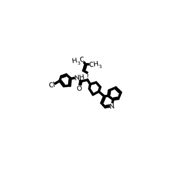 CC(C)=CC[C@@H](C(=O)Nc1ccc(Cl)cc1)C1CCC(c2ccnc3ccccc23)CC1